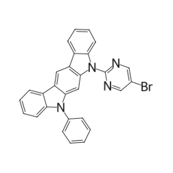 Brc1cnc(-n2c3ccccc3c3cc4c5ccccc5n(-c5ccccc5)c4cc32)nc1